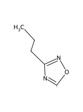 CCCc1n[c]on1